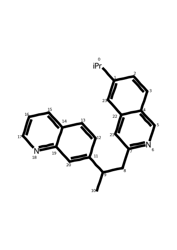 CC(C)c1ccc2cnc(CC(C)c3ccc4cccnc4c3)cc2c1